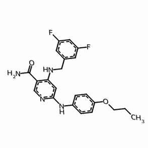 CCCOc1ccc(Nc2cc(NCc3cc(F)cc(F)c3)c(C(N)=O)cn2)cc1